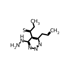 C=CCc1nnnc(NN)c1C(=S)CC